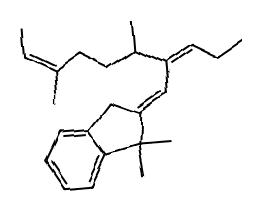 C/C=C(/I)CCC(C)C(=C/CC)/C=C1\Cc2ccccc2C1(C)C